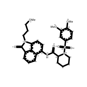 COCCCN1C(=O)c2cccc3c(NC(=O)C4CCCCN4S(=O)(=O)c4ccc(OC)c(OC)c4)ccc1c23